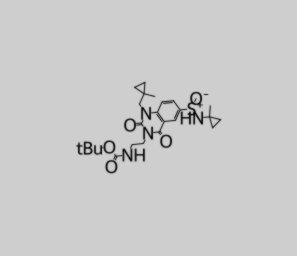 CC1(Cn2c(=O)n(CCNC(=O)OC(C)(C)C)c(=O)c3cc([S+]([O-])NC4(C)CC4)ccc32)CC1